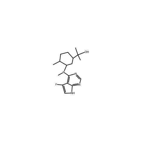 CC1CCC(C(C)(C)O)CC1N(C)c1ncnc2[nH]cc(F)c12